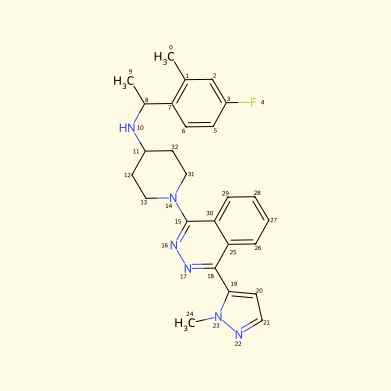 Cc1cc(F)ccc1C(C)NC1CCN(c2nnc(-c3ccnn3C)c3ccccc23)CC1